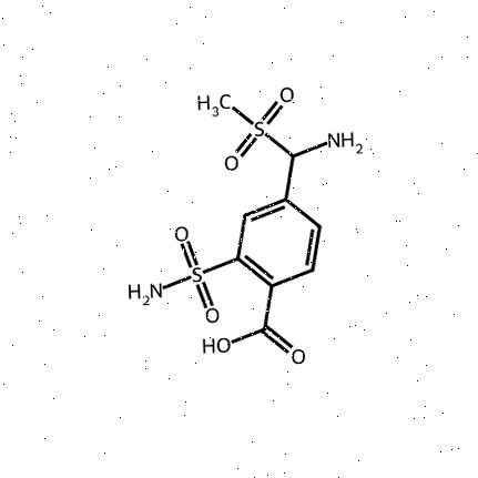 CS(=O)(=O)C(N)c1ccc(C(=O)O)c(S(N)(=O)=O)c1